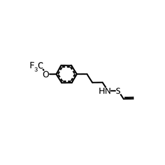 C=CSNCCCc1ccc(OC(F)(F)F)cc1